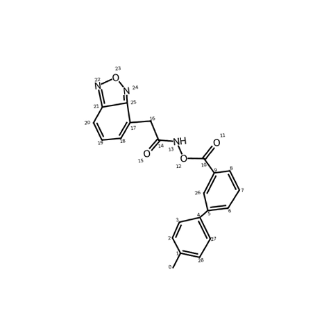 Cc1ccc(-c2cccc(C(=O)ONC(=O)Cc3cccc4nonc34)c2)cc1